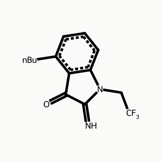 CCCCc1cccc2c1C(=O)C(=N)N2CC(F)(F)F